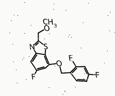 COCc1nc2cc(F)cc(OCc3ccc(F)cc3F)c2s1